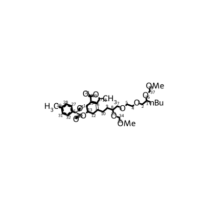 CCCCC(COCCOCC(CCCCC(CC1=C[C@H](C)OC1=O)OS(=O)(=O)c1ccc(C)cc1)OCOC)OCOC